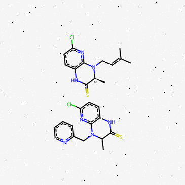 CC(C)=CCN1c2nc(Cl)ccc2NC(=S)[C@@H]1C.CC1C(=S)Nc2ccc(Cl)nc2N1Cc1ccccn1